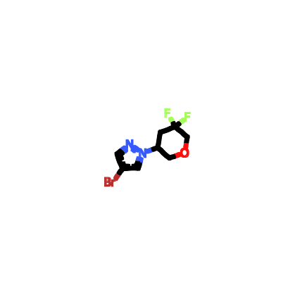 FC1(F)COCC(n2cc(Br)cn2)C1